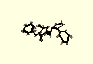 O=C1C(=Cc2ccsc2C2CCCCC2)SC(=S)N1Cc1ccccc1